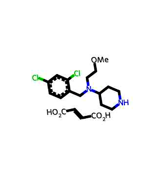 COCCN(Cc1ccc(Cl)cc1Cl)C1CCNCC1.O=C(O)C=CC(=O)O